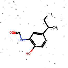 CCC(C)c1ccc(O)c(NC=O)c1